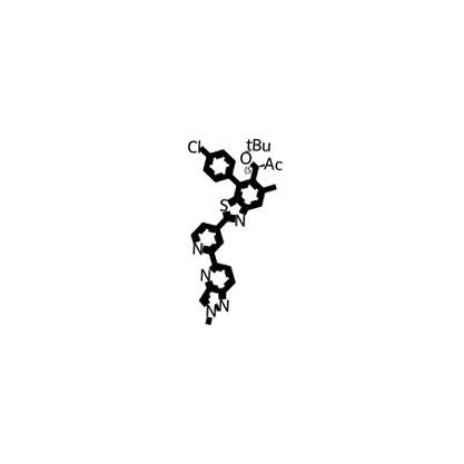 CC(=O)[C@@H](OC(C)(C)C)c1c(C)cc2nc(-c3ccnc(-c4ccc5nn(C)cc5n4)c3)sc2c1-c1ccc(Cl)cc1